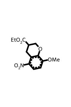 CCOC(=O)C1COc2c(OC)ccc([N+](=O)[O-])c2C1